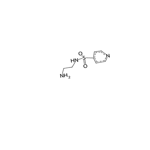 NCCNS(=O)(=O)c1ccncc1